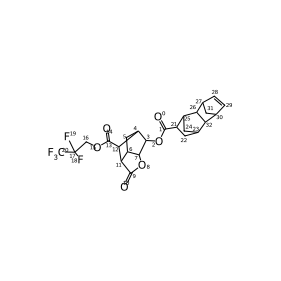 O=C(OC1C2CC3C1OC(=O)C3C2C(=O)OCC(F)(F)C(F)(F)F)C1CC2CC1C1C3C=CC(C3)C21